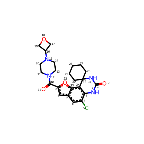 O=C1Nc2c(Cl)cc3cc(C(=O)N4CCN(C5COC5)CC4)oc3c2C2(CCCCC2)N1